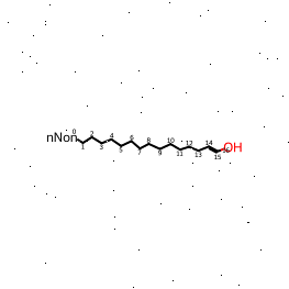 CCCCCCCCCCCCCCCCCCCCCC/C=C/O